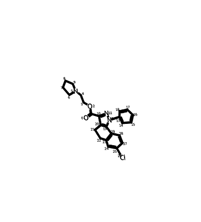 O=C(OCCN1CCCC1)c1nn(-c2ccccc2)c2c1CCc1cc(Cl)ccc1-2